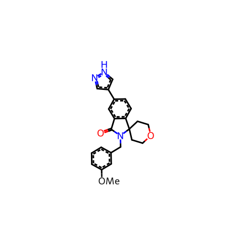 COc1cccc(CN2C(=O)c3cc(-c4cn[nH]c4)ccc3C23CCOCC3)c1